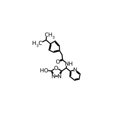 CC(C)c1ccc(CC(=O)NC(c2ccccn2)c2nnc(O)o2)cc1